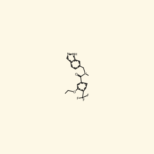 CCOc1cc(C(=O)N(C)Cc2ccc3cn[nH]c3c2)ccc1C(F)(F)F